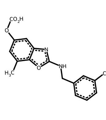 Cc1cc(OC(=O)O)cc2nc(NCc3cccc(Cl)c3)oc12